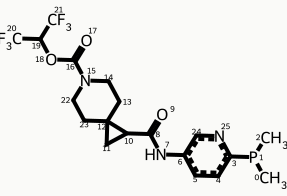 CP(C)c1ccc(NC(=O)C2CC23CCN(C(=O)OC(C(F)(F)F)C(F)(F)F)CC3)cn1